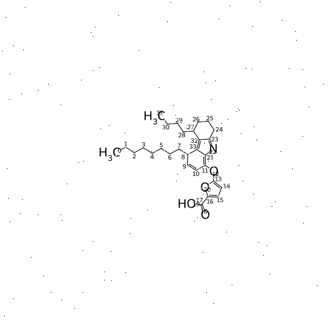 CCCCCCCCC1C=CC(Oc2ccc(C(=O)O)o2)=C2N=C3CCCC(CCCC)C3=C21